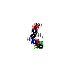 Cc1cc(Nc2ncc3c(n2)OCN(c2c(Cl)cccc2Cl)C3=O)ccc1C1CCN(C(=O)OC(C)(C)C)CC1